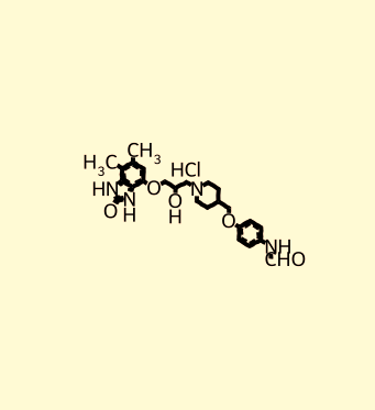 Cc1cc(OCC(O)CN2CCC(COc3ccc(NC=O)cc3)CC2)c2[nH]c(=O)[nH]c2c1C.Cl